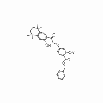 CC1(C)CCC(C)(C)c2cc(C(=O)COc3ccc(C(=O)OCc4ccccc4)c(O)c3)c(O)cc21